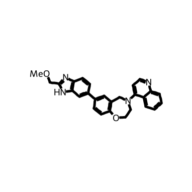 COCc1nc2ccc(-c3ccc4c(c3)CN(c3ccnc5ccccc35)CCO4)cc2[nH]1